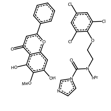 CCCN(CCOc1c(Cl)cc(Cl)cc1Cl)C(=O)n1ccnc1.COc1c(O)cc2oc(-c3ccccc3)cc(=O)c2c1O